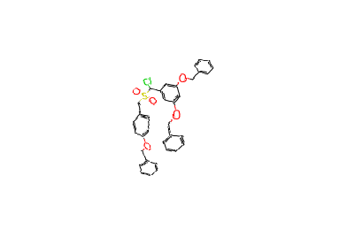 O=S(=O)(Cc1ccc(OCc2ccccc2)cc1)C(Cl)c1cc(OCc2ccccc2)cc(OCc2ccccc2)c1